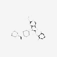 CC(C)Nc1ncc2nc(Nc3c(F)cccc3F)n([C@H]3CC[C@@H](C(=O)N4CCOCC4)CC3)c2n1